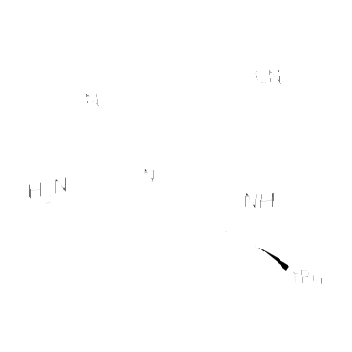 C[C@@H](Nc1nc(N)ncc1C#N)C(C)(C)C